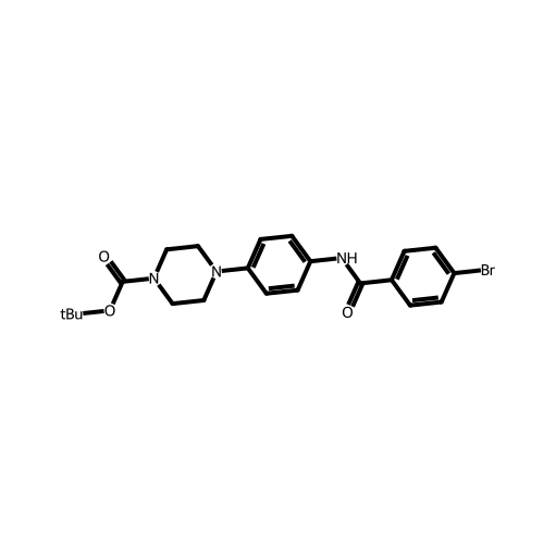 CC(C)(C)OC(=O)N1CCN(c2ccc(NC(=O)c3ccc(Br)cc3)cc2)CC1